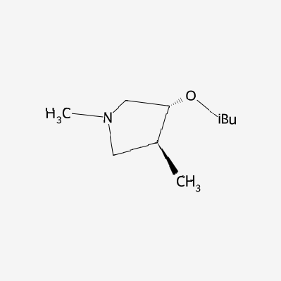 CCC(C)O[C@H]1CN(C)C[C@@H]1C